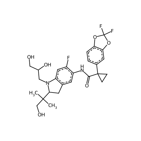 CC(C)(CO)C1Cc2cc(NC(=O)C3(c4ccc5c(c4)OC(F)(F)O5)CC3)c(F)cc2N1CC(O)CO